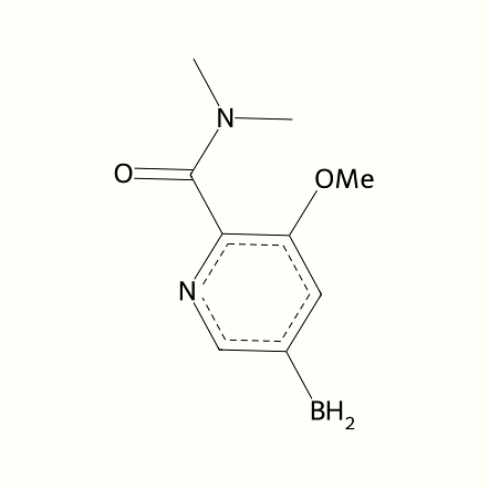 Bc1cnc(C(=O)N(C)C)c(OC)c1